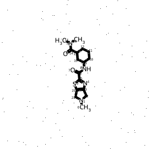 CN1Cc2nc(C(=O)NC3[CH]CCC(C(=O)N(C)C)C3)sc2C1